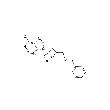 OC[C@@]1(n2cnc3c(Cl)ncnc32)CC(COCc2ccccc2)O1